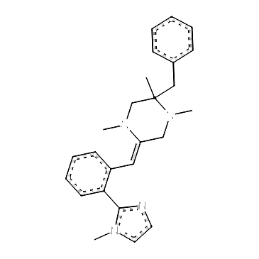 CN1CC(C)(Cc2ccccc2)N(C)CC1=Cc1ccccc1-c1nccn1C